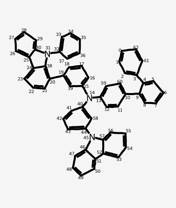 c1ccc(-c2ccccc2-c2ccc(N(c3cccc(-c4cccc5c6ccccc6n(-c6ccccc6)c45)c3)c3cccc(-n4c5ccccc5c5ccccc54)c3)cc2)cc1